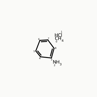 C.Cl.N.c1ccccc1